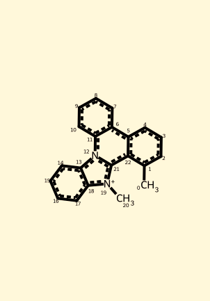 Cc1cccc2c3ccccc3n3c4ccccc4[n+](C)c3c12